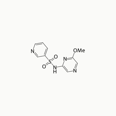 COc1cncc(NS(=O)(=O)c2cccnc2)n1